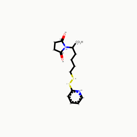 O=C(O)C(CCCCSSc1ccccn1)N1C(=O)CCC1=O